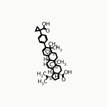 C=C(C)[C@@H]1CC[C@]2(C(=O)O)CC[C@]3(C)[C@H](CC[C@@H]4[C@@]5(C)CC=C(c6ccc(C7(C(=O)O)CC7)cc6)C(C)(C)C5CC[C@]43C)[C@@H]12